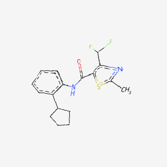 Cc1nc(C(F)F)c(C(=O)Nc2ccccc2C2CCCC2)s1